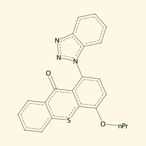 CCCOc1ccc(-n2nnc3ccccc32)c2c(=O)c3ccccc3sc12